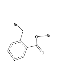 O=C(OBr)c1ccccc1CBr